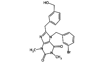 Cn1c(=O)c2c(nc(Cc3cccc(CO)c3)n2Cc2cccc(Br)c2)n(C)c1=O